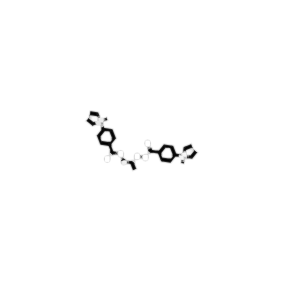 C=C[Si](C)(C=C)c1ccc(C(=O)OOC(=C)OOC(=O)c2ccc([Si](C)(C=C)C=C)cc2)cc1